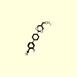 CCC1COC([C@H]2CC[C@H](c3ccc(C#N)c(F)c3)CC2)OC1